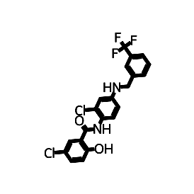 O=C(Nc1ccc(NCc2cccc(C(F)(F)F)c2)cc1Cl)c1cc(Cl)ccc1O